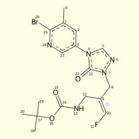 Cc1cc(-n2cnn(C/C(=C/F)CNC(=O)OC(C)(C)C)c2=O)cnc1Br